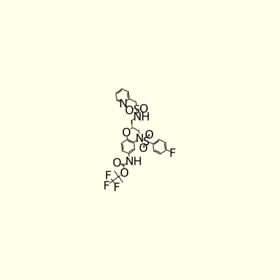 CC(C)(OC(=O)Nc1ccc2c(c1)N(S(=O)(=O)c1ccc(F)cc1)C[C@H](CNS(=O)(=O)Cc1ccccn1)O2)C(F)(F)F